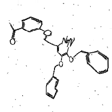 CC(=O)c1cccc(OCc2cc(OCc3ccccc3)c(OCc3ccccc3)nn2)c1